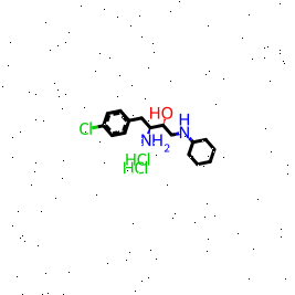 Cl.Cl.N[C@@H](Cc1ccc(Cl)cc1)[C@H](O)CNC1CCCCC1